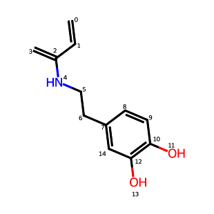 C=CC(=C)NCCc1ccc(O)c(O)c1